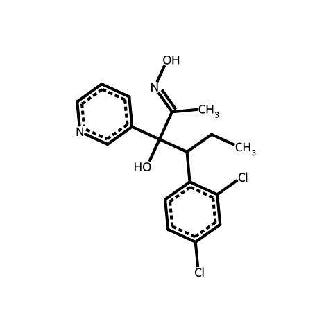 CCC(c1ccc(Cl)cc1Cl)C(O)(/C(C)=N/O)c1cccnc1